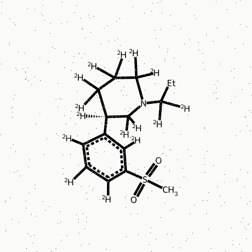 [2H]c1c([2H])c([C@]2([2H])C([2H])([2H])N(C([2H])([2H])CC)C([2H])([2H])C([2H])([2H])C2([2H])[2H])c([2H])c(S(C)(=O)=O)c1[2H]